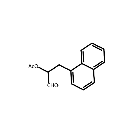 CC(=O)OC([C]=O)Cc1cccc2ccccc12